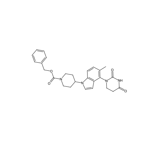 Cc1ccc2c(ccn2C2CCN(C(=O)OCc3ccccc3)CC2)c1N1CCC(=O)NC1=O